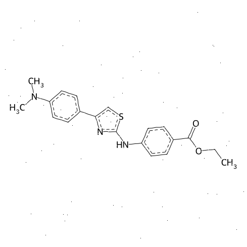 CCOC(=O)c1ccc(Nc2nc(-c3ccc(N(C)C)cc3)cs2)cc1